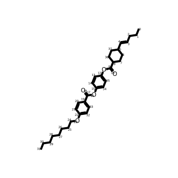 CCCC=CC1CCC(C(=O)Oc2ccc(OC(=O)c3ccc(OCCCCCCCC)cc3)cc2)CC1